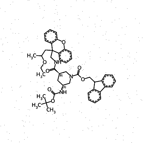 CCOC(C)CC1(CNC(=O)[C@@H]2C[C@H](NC(=O)OC(C)(C)C)CN(C(=O)OCC3c4ccccc4-c4ccccc43)C2)c2ccccc2Oc2ccccc21